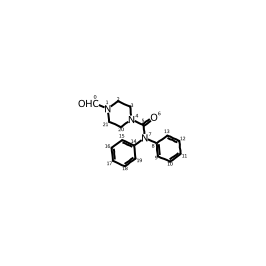 O=CN1CCN(C(=O)N(c2ccccc2)c2ccccc2)CC1